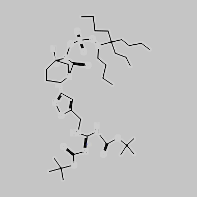 CCCCN(OS(=O)(=O)ON1C(=O)N2C[C@@H]1CC[C@H]2c1cc(CN/C(=N\C(=O)OC(C)(C)C)NC(=O)OC(C)(C)C)on1)C(CCC)(CCCC)CCCC